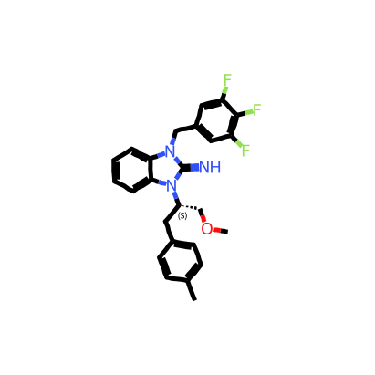 COC[C@H](Cc1ccc(C)cc1)n1c(=N)n(Cc2cc(F)c(F)c(F)c2)c2ccccc21